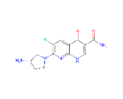 NC(=O)c1c[nH]c2nc(N3CC[C@H](N)C3)c(F)cc2c1=O